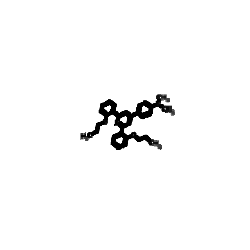 CCCOc1ccccc1-c1cc(-c2ccc(N(C)C)cc2)cc(-c2ccccc2OCCC)n1